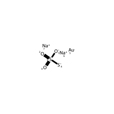 O=S(=O)([O-])[S-].[Au].[Na+].[Na+]